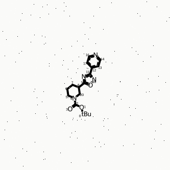 CC(C)(C)OC(=O)N1CCCC(c2nc(-c3ccncc3)no2)C1